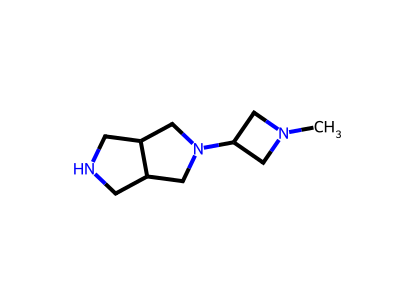 CN1CC(N2CC3CNCC3C2)C1